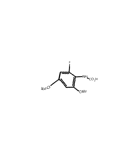 COc1cc(F)c(NC(=O)O)c(OC)c1